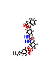 Cc1ccc(S(=O)(=O)Oc2cccc(NC(=O)Nc3cccc(OS(=O)(=O)Cc4ccccc4)c3)c2)cc1